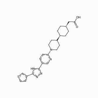 O=C(O)C[C@H]1CC[C@@H](C2CCN(c3ccc(-c4nnc(-c5ccsc5)[nH]4)cn3)CC2)CC1